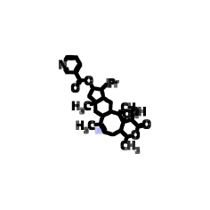 C=C1C2CC3C(C(C)C)C(OC(=O)c4cccnc4)CC3(C)CC2/C(C)=C\CC2C(C)OC(=O)C(O)C12O